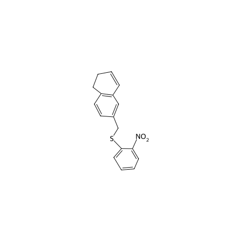 O=[N+]([O-])c1ccccc1SCc1ccc2c(c1)C=CCC2